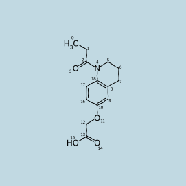 CCC(=O)N1CCCc2cc(OCC(=O)O)ccc21